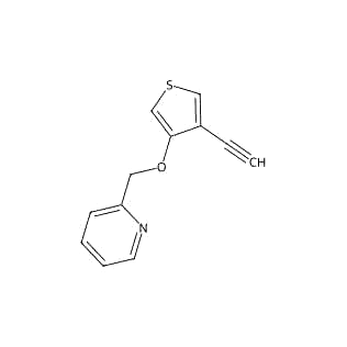 C#Cc1cscc1OCc1ccccn1